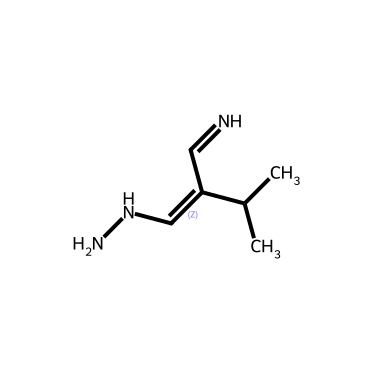 CC(C)/C(C=N)=C/NN